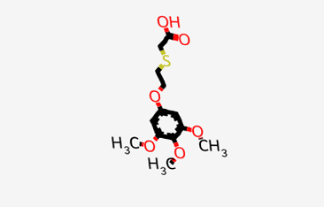 COc1cc(OCCSCC(=O)O)cc(OC)c1OC